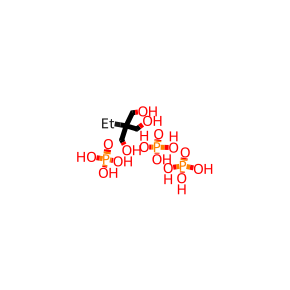 CCC(CO)(CO)CO.O=P(O)(O)O.O=P(O)(O)O.O=P(O)(O)O